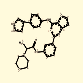 CC(C(=O)Nc1cccc(-c2nc(Nc3ccc(-c4cn[nH]c4)cc3)c3occc3n2)c1)N1CCOCC1